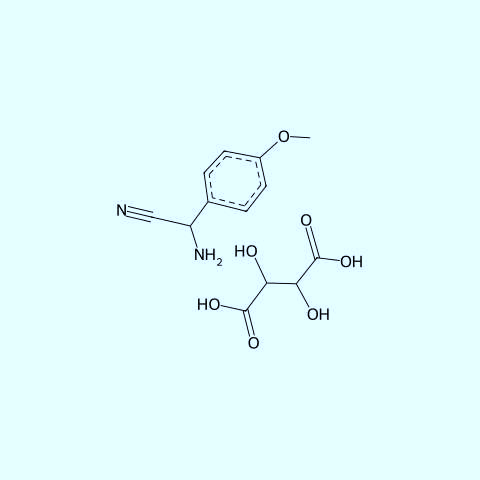 COc1ccc(C(N)C#N)cc1.O=C(O)C(O)C(O)C(=O)O